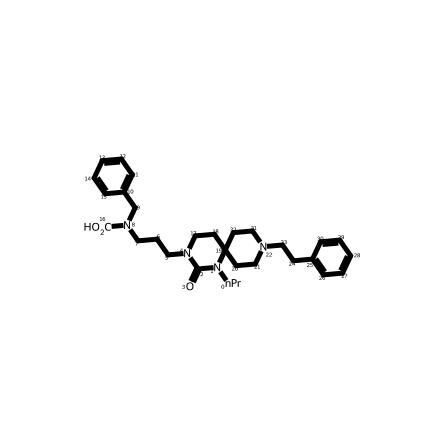 CCCN1C(=O)N(CCCN(Cc2ccccc2)C(=O)O)CCC12CCN(CCc1ccccc1)CC2